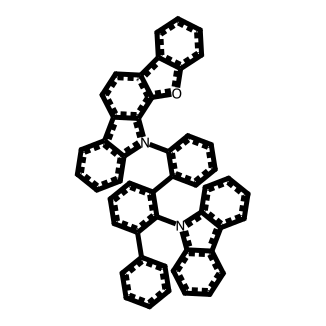 c1ccc(-c2cccc(-c3ccccc3-n3c4ccccc4c4ccc5c6ccccc6oc5c43)c2-n2c3ccccc3c3ccccc32)cc1